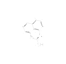 SC1=Nc2cccc3cccc(c23)O1